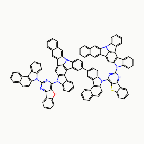 c1ccc2cc3c(cc2c1)c1cc2c(c4ccccc4n2-c2nc(-n4c5ccc(-c6ccc7c(c6)c6c8c9ccccc9n(-c9nc(-n%10c%11ccccc%11c%11c%12ccccc%12ccc%11%10)nc%10c9oc9ccccc9%10)c8cc8c9cc%10ccccc%10cc9n7c86)cc5c5c6ccccc6ccc54)c4sc5ccccc5c4n2)c2c4ccccc4n3c12